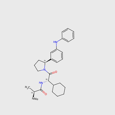 CN[C@@H](C)C(=O)N[C@H](C(=O)N1CCC[C@H]1c1cccc(Nc2ccccc2)c1)C1CCCCC1